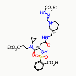 CCOC(=O)CCN(C(=O)[C@H](CC(=O)NC[C@@H]1CCCN(C=NNC(=O)OCC)C1)NS(=O)(=O)c1ccccc1C(=O)O)C1CC1